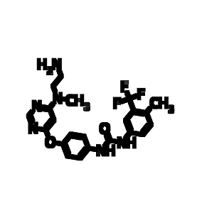 Cc1ccc(NC(=O)Nc2ccc(Oc3cc(N(C)CCN)ncn3)cc2)cc1C(F)(F)F